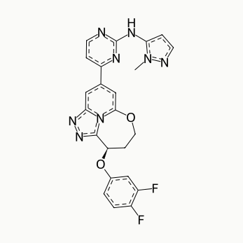 Cn1nccc1Nc1nccc(-c2cc3n4c(nnc4c2)[C@H](Oc2ccc(F)c(F)c2)CCO3)n1